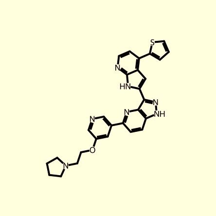 c1csc(-c2ccnc3[nH]c(-c4n[nH]c5ccc(-c6cncc(OCCN7CCCC7)c6)nc45)cc23)c1